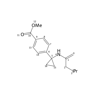 C=C(CC(C)C)NC1(c2ccc(C(=O)OC)cc2)CC1